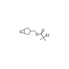 CCC(C)(C)C(=O)OCC1CC2OC2C1